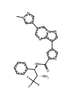 Cn1cc(-c2cnc3c(-c4csc(C(=O)N[C@H](c5ccccc5)[C@H](N)C(F)(F)F)c4)cnn3c2)cn1